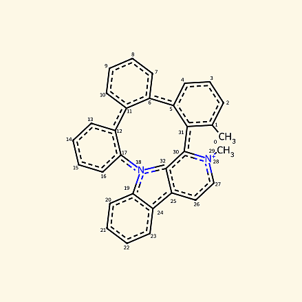 Cc1cccc2c3ccccc3c3ccccc3n3c4ccccc4c4cc[n+](C)c(c12)c43